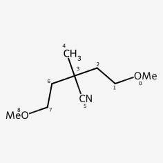 COCCC(C)(C#N)CCOC